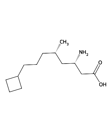 C[C@@H](CCCC1CCC1)C[C@H](N)CC(=O)O